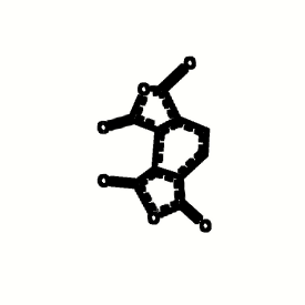 O=c1oc(=O)c2c1ccc1c(=O)oc(=O)c12